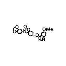 COc1ccc2ncnc(OC[C@H]3CC[C@@]4(CC3)CN(c3ccc5c(c3)OCCO5)C(=O)O4)c2c1